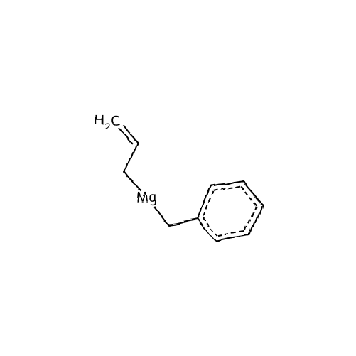 C=C[CH2][Mg][CH2]c1ccccc1